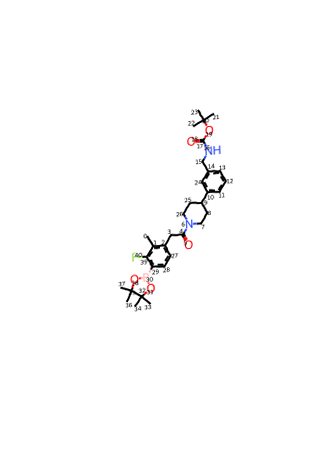 Cc1c(CC(=O)N2CCC(c3cccc(CNC(=O)OC(C)(C)C)c3)CC2)ccc(B2OC(C)(C)C(C)(C)O2)c1F